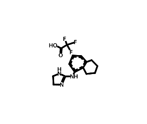 O=C(O)C(F)(F)F.c1cc2c(c(NC3=NCCN3)c1)CCCC2